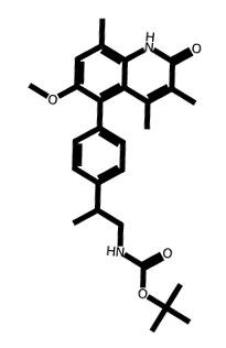 COc1cc(C)c2[nH]c(=O)c(C)c(C)c2c1-c1ccc(C(C)CNC(=O)OC(C)(C)C)cc1